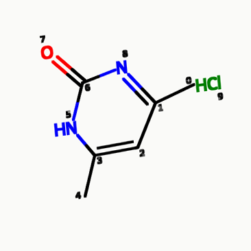 Cc1cc(C)[nH]c(=O)n1.Cl